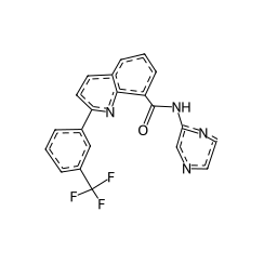 O=C(Nc1cnccn1)c1cccc2ccc(-c3cccc(C(F)(F)F)c3)nc12